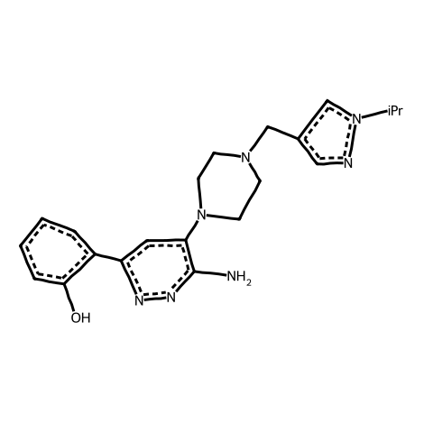 CC(C)n1cc(CN2CCN(c3cc(-c4ccccc4O)nnc3N)CC2)cn1